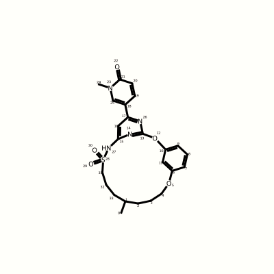 CC1CCCOc2cccc(c2)Oc2nc(cc(-c3ccc(=O)n(C)c3)n2)NS(=O)(=O)CCC1